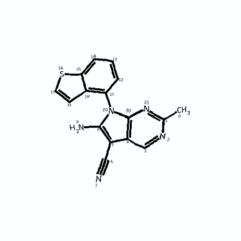 Cc1ncc2c(C#N)c(N)n(-c3cccc4sccc34)c2n1